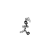 CCCN(CCNC(=O)c1ccc([N+](=O)[O-])cc1)CCc1ccccc1